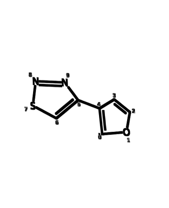 [c]1occc1-c1csnn1